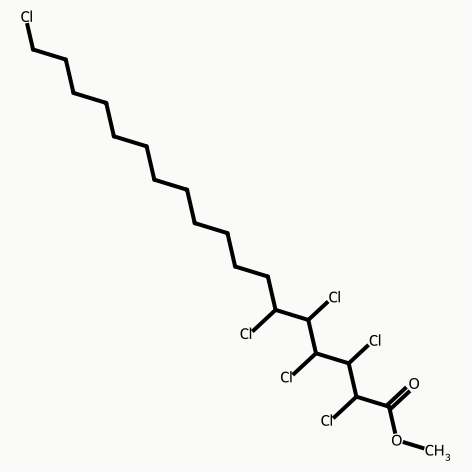 COC(=O)C(Cl)C(Cl)C(Cl)C(Cl)C(Cl)CCCCCCCCCCCCCl